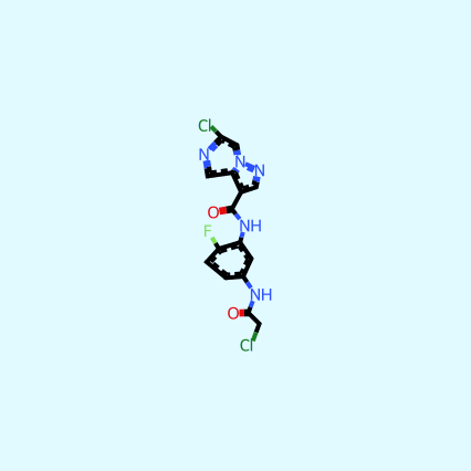 O=C(CCl)Nc1ccc(F)c(NC(=O)c2cnn3cc(Cl)ncc23)c1